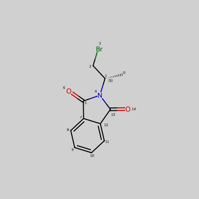 C[C@@H](CBr)N1C(=O)c2ccccc2C1=O